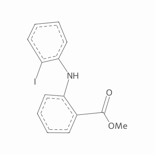 COC(=O)c1ccccc1Nc1ccccc1I